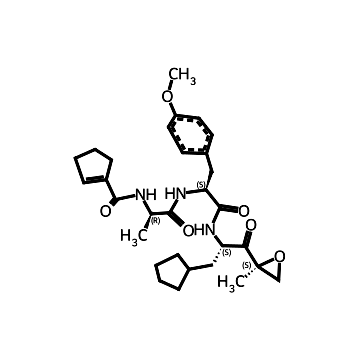 COc1ccc(C[C@H](NC(=O)[C@@H](C)NC(=O)C2=CCCC2)C(=O)N[C@@H](CC2CCCC2)C(=O)[C@]2(C)CO2)cc1